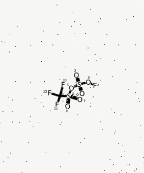 O=S(=O)(OF)OS(=O)(=O)C(F)(F)F